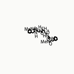 CNC(=O)C(Cc1ccccc1)NC(=O)CNC(=O)CCC(C)C(=O)NCC(=O)NC(Cc1ccccc1)C(=O)NC